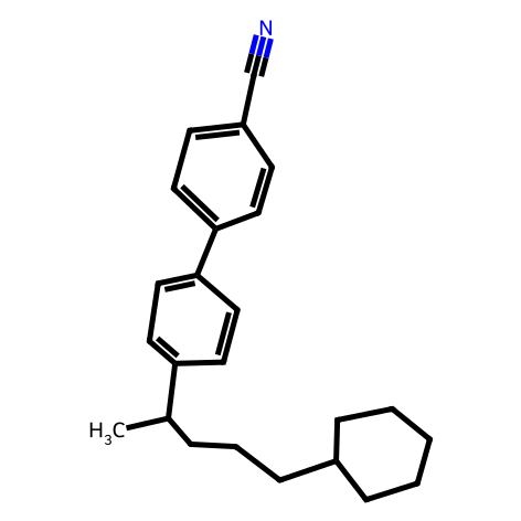 CC(CCCC1CCCCC1)c1ccc(-c2ccc(C#N)cc2)cc1